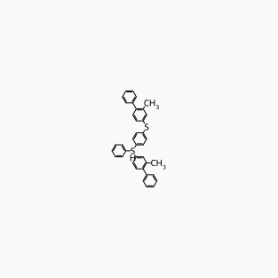 Cc1cc(Sc2ccc([SH](c3ccccc3)c3ccc(-c4ccccc4)c(C)c3)cc2)ccc1-c1ccccc1